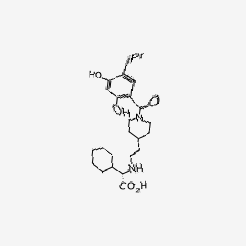 CC(C)c1cc(C(=O)N2CCC(CCN[C@H](C(=O)O)C3CCCCC3)CC2)c(O)cc1O